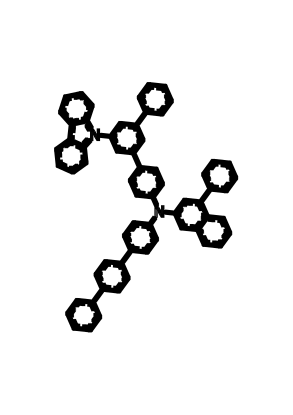 c1ccc(-c2ccc(-c3ccc(N(c4ccc(-c5cc(-c6ccccc6)cc(-n6c7ccccc7c7ccccc76)c5)cc4)c4cc(-c5ccccc5)c5ccccc5c4)cc3)cc2)cc1